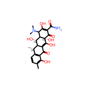 Cc1ccc2c(c1O)C(=O)C1=C(O)[C@]3(O)C(=O)C(C(N)=O)=C(O)C(N(C)C)C3[C@@H](O)C1[C@H]2C